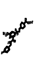 Cc1cc(C(F)(F)CCC2CCC(C(=O)O)CC2)cc(C(=O)NCc2ccc(F)cc2)n1